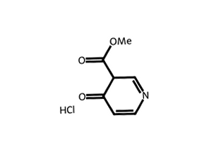 COC(=O)C1C=NC=CC1=O.Cl